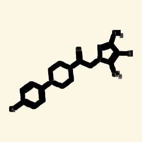 Cc1nn(CC(=O)N2CCN(c3ccc(Cl)cc3)CC2)c(C(F)(F)F)c1Cl